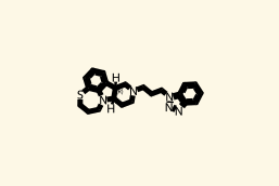 c1cc2c3c(c1)[C@@H]1CN(CCCn4nnc5ccccc54)CC[C@@H]1N3CCCS2